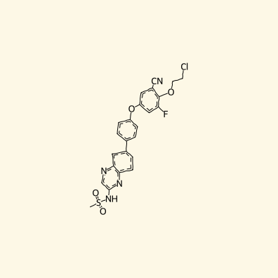 CS(=O)(=O)Nc1cnc2cc(-c3ccc(Oc4cc(F)c(OCCCl)c(C#N)c4)cc3)ccc2n1